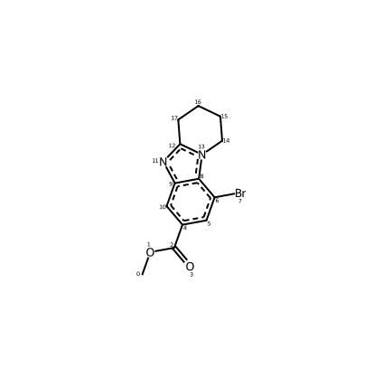 COC(=O)c1cc(Br)c2c(c1)nc1n2CCCC1